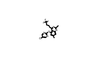 Cc1cc(Oc2ncc(Cl)cn2)c2c(CCCC(F)(F)F)nc(C)nc2c1